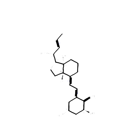 C=C1/C(=C/C=C2\CCC[C@]3(C)[C@@H]([C@H](C)/C=C/I)CC[C@@H]23)C[C@@H](O)C[C@@H]1O